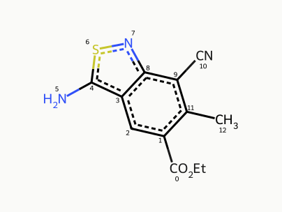 CCOC(=O)c1cc2c(N)snc2c(C#N)c1C